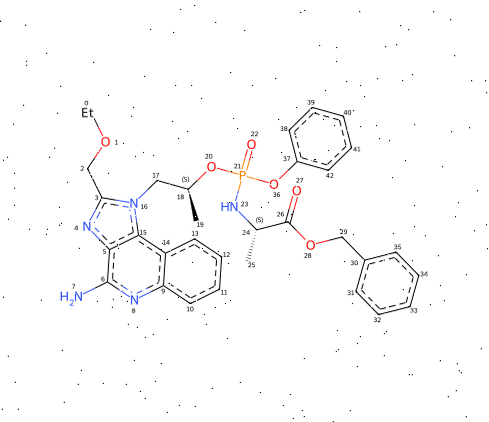 CCOCc1nc2c(N)nc3ccccc3c2n1C[C@H](C)OP(=O)(N[C@@H](C)C(=O)OCc1ccccc1)Oc1ccccc1